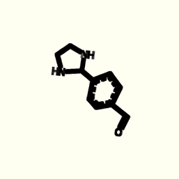 O=Cc1ccc(C2NCCN2)cc1